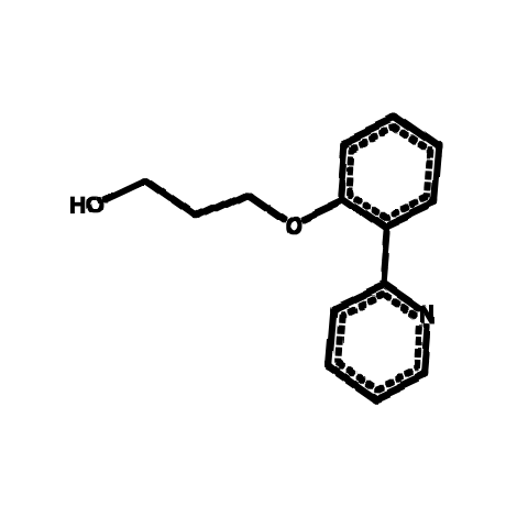 OCCCOc1ccccc1-c1ccccn1